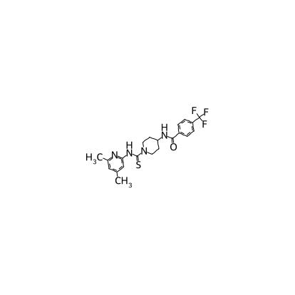 Cc1cc(C)nc(NC(=S)N2CCC(NC(=O)c3ccc(C(F)(F)F)cc3)CC2)c1